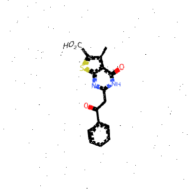 Cc1c(C(=O)O)sc2nc(CC(=O)c3ccccc3)[nH]c(=O)c12